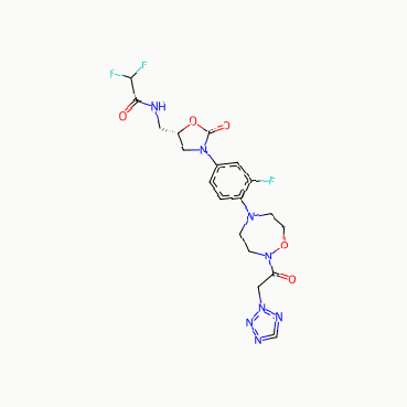 O=C(NC[C@H]1CN(c2ccc(N3CCON(C(=O)Cn4ncnn4)CC3)c(F)c2)C(=O)O1)C(F)F